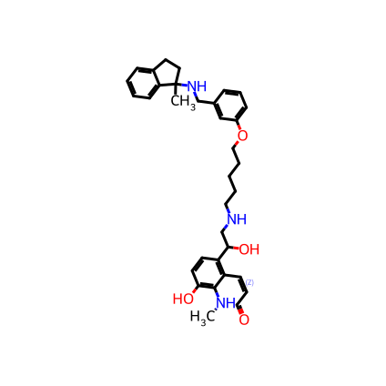 CNc1c(O)ccc(C(O)CNCCCCCOc2cccc(CNC3(C)CCc4ccccc43)c2)c1/C=C\C=O